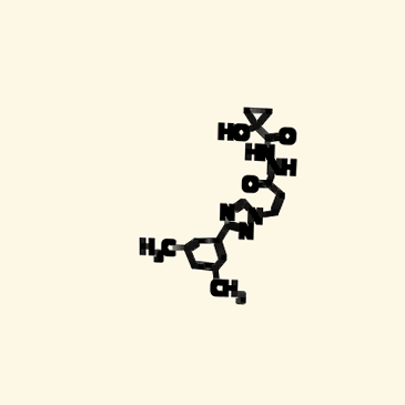 Cc1cc(C)cc(-c2ncn(/C=C\C(=O)NNC(=O)C3(O)CC3)n2)c1